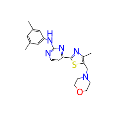 Cc1cc(C)cc(Nc2nccc(-c3nc(C)c(CN4CCOCC4)s3)n2)c1